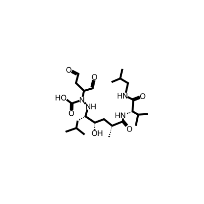 CC(C)CNC(=O)[C@@H](NC(=O)[C@H](C)C[C@H](O)[C@H](CC(C)C)NN(C(=O)O)C(C=O)CC=O)C(C)C